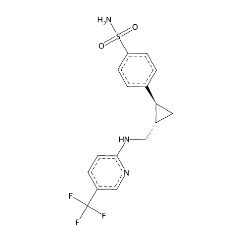 NS(=O)(=O)c1ccc([C@H]2C[C@@H]2CNc2ccc(C(F)(F)F)cn2)cc1